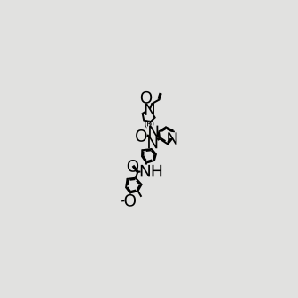 C=CC(=O)N1CC[C@@H](n2c(=O)n(-c3ccc(NC(=O)c4ccc(OC)c(C)c4)cc3)c3cnccc32)C1